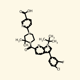 CC1(C)CN(c2ccc(C(=O)O)cn2)CCN1C(=O)c1ccc2c(-c3ccc(Cl)c(F)c3)cn(C(C)(C)C)c2n1